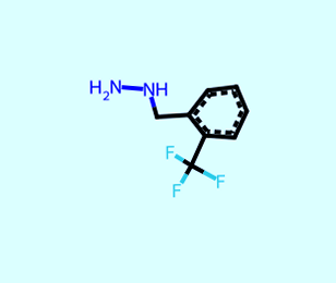 NNCc1ccccc1C(F)(F)F